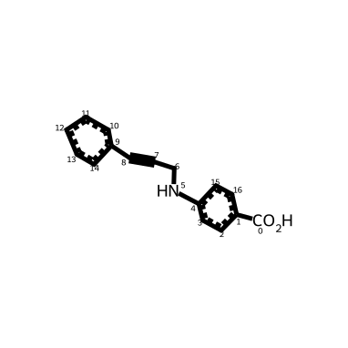 O=C(O)c1ccc(NCC#Cc2ccccc2)cc1